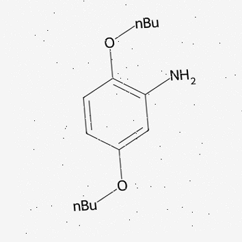 CCCCOc1ccc(OCCCC)c(N)c1